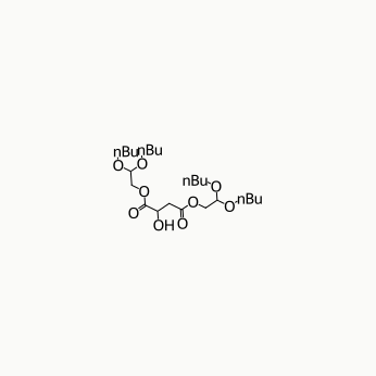 CCCCOC(COC(=O)CC(O)C(=O)OCC(OCCCC)OCCCC)OCCCC